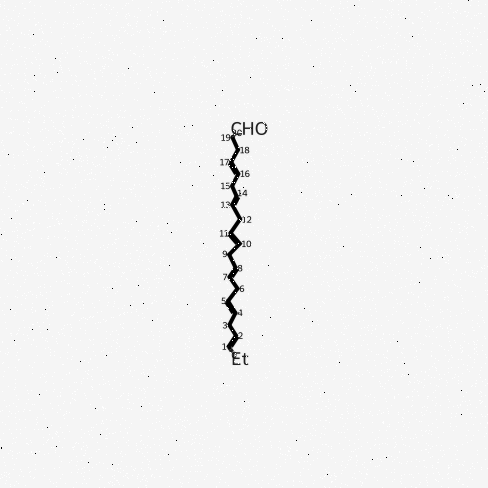 CCC=CCC=CCC=CCC=CCC=CCC=CCCC=O